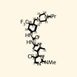 CNc1ncc(Cl)c(-c2sc(NC(=O)Nc3ccc(CN4CCN(C(C)C)CC4)c(C(F)(F)F)c3)nc2C)n1